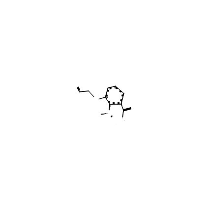 C=CCOc1cccc(C(=O)O)c1[N+](=O)[O-]